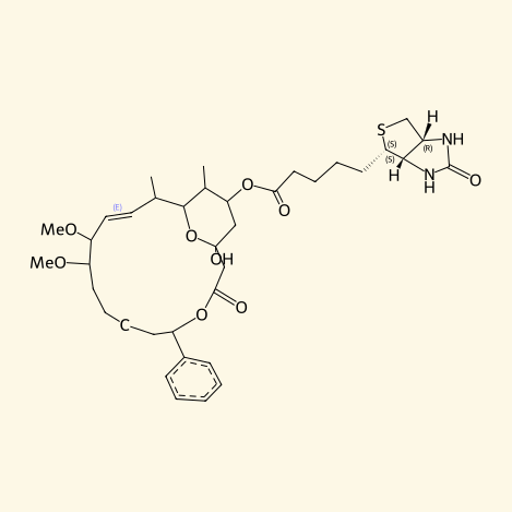 COC1/C=C/C(C)C2OC(O)(CC(=O)OC(c3ccccc3)CCCCC1OC)CC(OC(=O)CCCC[C@@H]1SC[C@@H]3NC(=O)N[C@@H]31)C2C